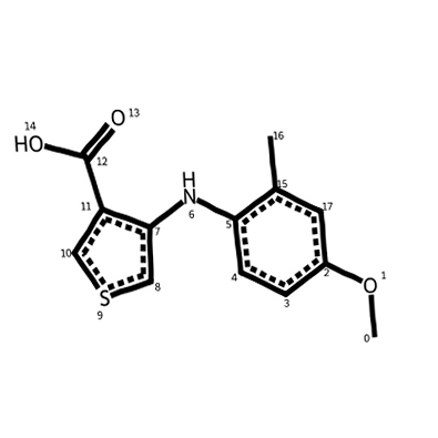 COc1ccc(Nc2cscc2C(=O)O)c(C)c1